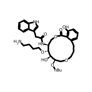 CCCCO[C@@H]1COCCCc2cccc(O)c2C(=O)OC[C@H](NC(=O)Cc2c[nH]c3ccccc23)[C@@H](OCCCCN)[C@@H]1O